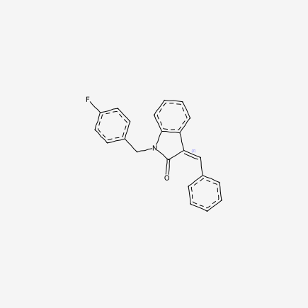 O=C1/C(=C\c2ccccc2)c2ccccc2N1Cc1ccc(F)cc1